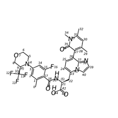 Cc1cc(N2CCOC[C@@H]2C(F)(F)F)cc(F)c1C(=O)N[C@@H](Cc1ccc(-c2c(C)cc(C)n(C)c2=O)c2nccn12)C(=O)O